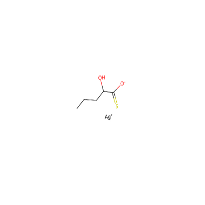 CCCC(O)C([O-])=S.[Ag+]